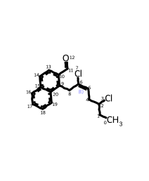 CCC(Cl)C/C=C(/Cl)Cc1c(C=O)ccc2ccccc12